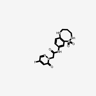 O=C(Cn1ncc(F)cc1=O)Nc1ccc2c(c1)S(=O)(=O)NCCCN2